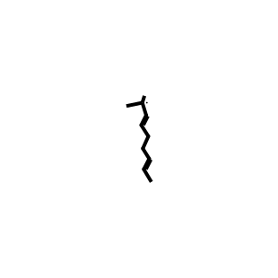 C/C=C/CC/C=C/[C](C)C